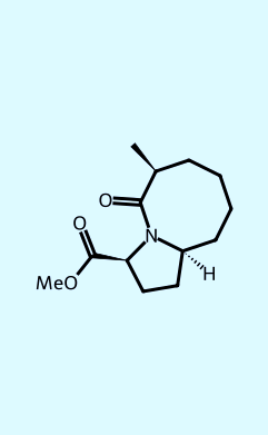 COC(=O)[C@@H]1CC[C@@H]2CCCC[C@H](C)C(=O)N21